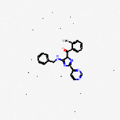 COc1ccccc1C(=O)C1N=C(c2ccncn2)N=C1NCc1ccccc1